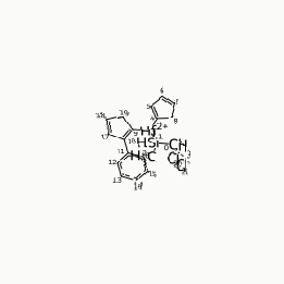 C[SiH](C)[Hf+2]([C]1=CC=CC1)[C]1=C(c2ccccc2)C=CC1.[Cl-].[Cl-]